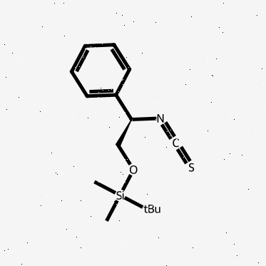 CC(C)(C)[Si](C)(C)OC[C@H](N=C=S)c1ccccc1